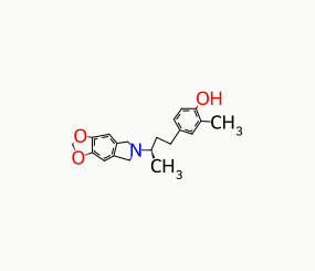 Cc1cc(CC[C@@H](C)N2Cc3cc4c(cc3C2)OCO4)ccc1O